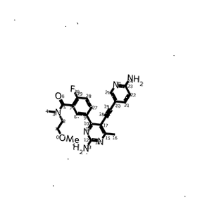 COCCN(C)C(=O)c1cc(-c2nc(N)nc(C)c2C#Cc2ccc(N)nc2)ccc1F